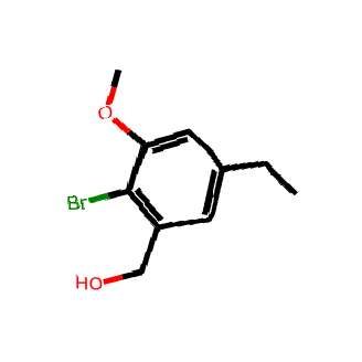 CCc1cc(CO)c(Br)c(OC)c1